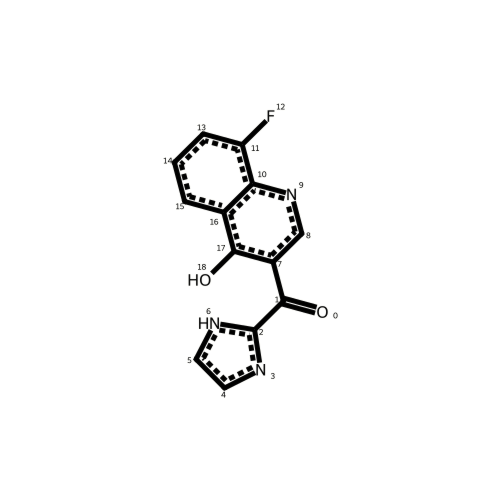 O=C(c1ncc[nH]1)c1cnc2c(F)cccc2c1O